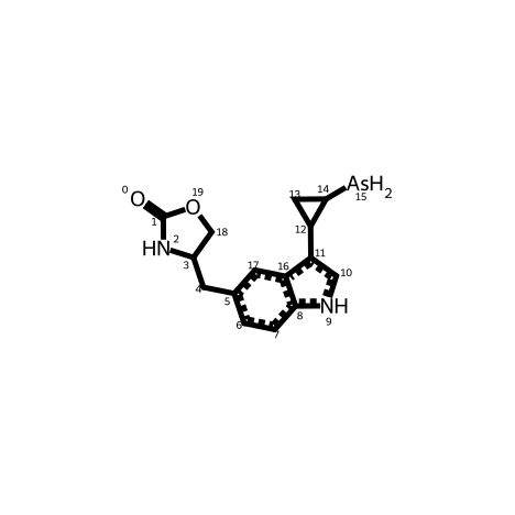 O=C1NC(Cc2ccc3[nH]cc(C4CC4[AsH2])c3c2)CO1